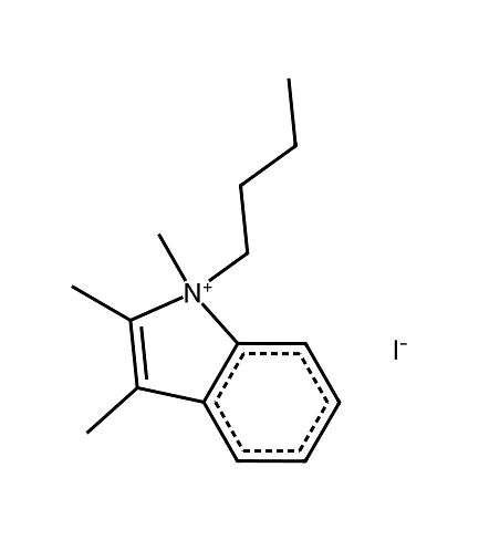 CCCC[N+]1(C)C(C)=C(C)c2ccccc21.[I-]